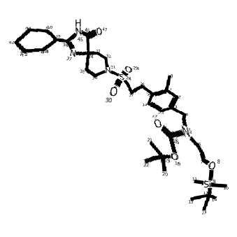 Cc1cc(CN(CCO[Si](C)(C)C(C)(C)C)C(=O)OC(C)(C)C)ccc1CCS(=O)(=O)N1CCC2(CC1)N=C(C1CCCCC1)NC2=O